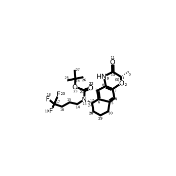 C[C@@H]1Oc2cc3c(cc2NC1=O)[C@@H](N(CCCC(F)(F)F)C(=O)OC(C)(C)C)CCC3